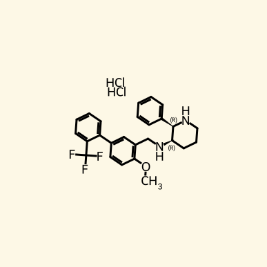 COc1ccc(-c2ccccc2C(F)(F)F)cc1CN[C@@H]1CCCN[C@@H]1c1ccccc1.Cl.Cl